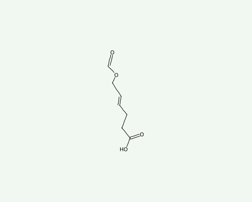 O=COCC=CCCC(=O)O